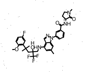 COc1ccc(F)cc1C(C)(C)CC(O)(CNc1cc(C)cc2c1cnn2-c1cccc(C(=O)N[C@@H]2CCN(C)C2=O)c1)C(F)(F)F